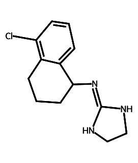 Clc1cccc2c1CCCC2N=C1NCCN1